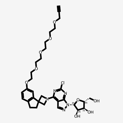 C#CCOCCOCCOCCOCCOc1ccc2c(c1)C1(CC2)CN(c2nc(Cl)nc3c2cnn3[C@@H]2O[C@H](CO)[C@@H](O)[C@H]2O)C1